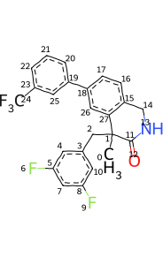 CC1(Cc2cc(F)cc(F)c2)C(=O)NCc2ccc(-c3cccc(C(F)(F)F)c3)cc21